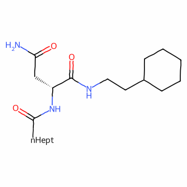 CCCCCCCC(=O)N[C@H](CC(N)=O)C(=O)NCCC1CCCCC1